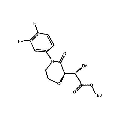 CC(C)(C)OC(=O)[C@H](O)[C@H]1OCCN(c2ccc(F)c(F)c2)C1=O